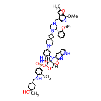 COc1ncc(CN2CCN(C3CC4(CCN(c5ccc(C(=O)NS(=O)(=O)c6ccc(NCC7CCC(C)(O)CC7)c([N+](=O)[O-])c6)c(N6c7cc8cc[nH]c8nc7O[C@H]7COCC[C@@H]76)c5)CC4)C3)[C@@H](c3ccccc3OC(C)C)C2)c2cc(C)oc12